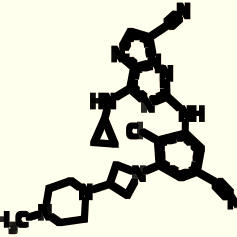 CN1CCN(C2CN(c3cc(C#N)cc(Nc4nc(NC5CC5)c5ncc(C#N)n5n4)c3Cl)C2)CC1